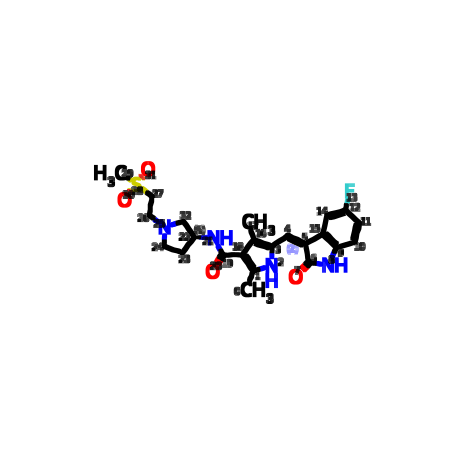 Cc1[nH]c(/C=C2\C(=O)Nc3ccc(F)cc32)c(C)c1C(=O)N[C@H]1CCN(CCS(C)(=O)=O)C1